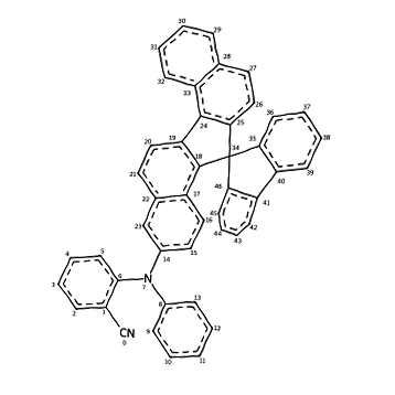 N#Cc1ccccc1N(c1ccccc1)c1ccc2c3c(ccc2c1)-c1c(ccc2ccccc12)C31c2ccccc2-c2ccccc21